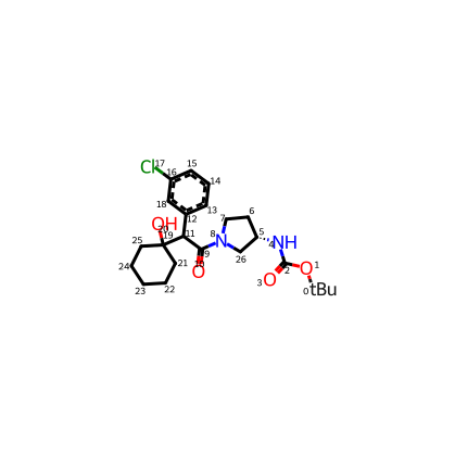 CC(C)(C)OC(=O)N[C@H]1CCN(C(=O)C(c2cccc(Cl)c2)C2(O)CCCCC2)C1